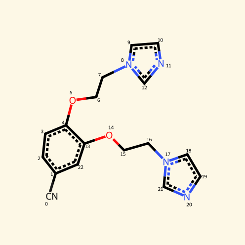 N#Cc1ccc(OCCn2ccnc2)c(OCCn2ccnc2)c1